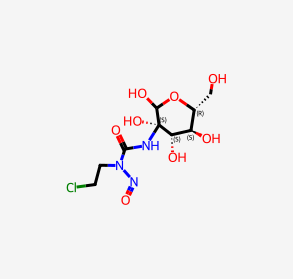 O=NN(CCCl)C(=O)N[C@@]1(O)C(O)O[C@H](CO)[C@@H](O)[C@@H]1O